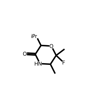 CC(C)C1OC(C)(F)C(C)NC1=O